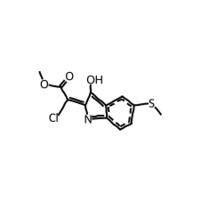 COC(=O)C(Cl)=C1N=c2ccc(SC)cc2=C1O